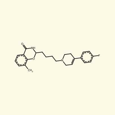 Cc1cccc2c1OC(CCCCN1CC=C(c3ccc(F)cc3)CC1)NC2=O